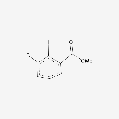 COC(=O)c1cccc(F)c1I